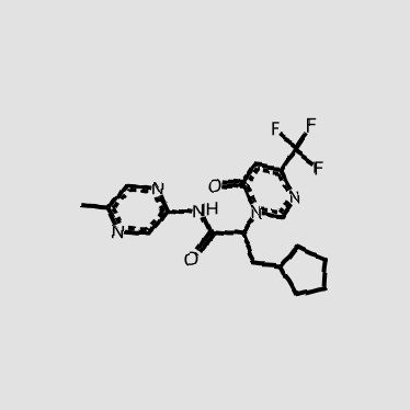 Cc1cnc(NC(=O)C(CC2CCCC2)n2cnc(C(F)(F)F)cc2=O)cn1